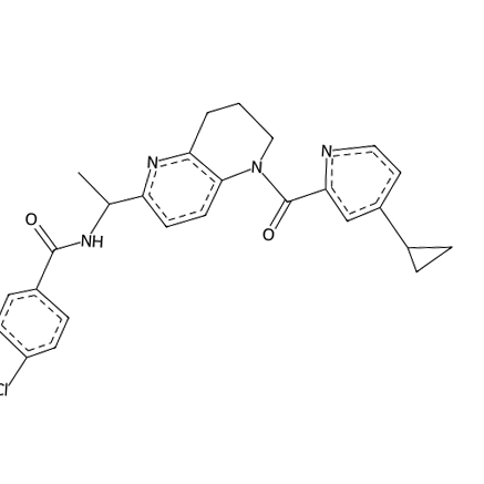 CC(NC(=O)c1ccc(Cl)cc1)c1ccc2c(n1)CCCN2C(=O)c1cc(C2CC2)ccn1